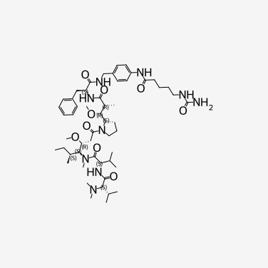 CC[C@H](C)[C@@H]([C@@H](CC(=O)N1CCC[C@H]1[C@H](OC)[C@@H](C)C(=O)N[C@@H](Cc1ccccc1)C(=O)NCc1ccc(NC(=O)CCCCNC(N)=O)cc1)OC)N(C)C(=O)[C@@H](NC(=O)[C@H](C(C)C)N(C)C)C(C)C